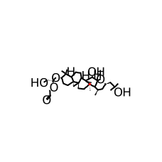 C[C@@H]1C[C@H](CC(C)(C)O)O[C@H]2C1[C@@]1(C)CC[C@@]34C[C@@]35CC[C@H](O[C@@H](CO)OCC=O)C(C)(C)[C@@H]5CC[C@H]4[C@]1(C)[C@H]2O